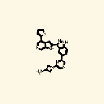 NC1CN(c2cncc(-c3ccc4[nH]nc(-c5cc6c(-c7cccs7)cncc6[nH]5)c4c3)n2)C1